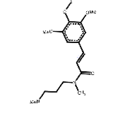 CNCCCN(C)C(=O)/C=C/c1cc(OC)c(OI)c(OC)c1